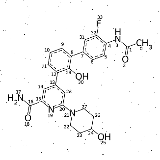 CC(=O)Nc1ccc(-c2cccc(-c3cc(C(N)=O)nc(N4CCC(O)CC4)c3)c2O)cc1F